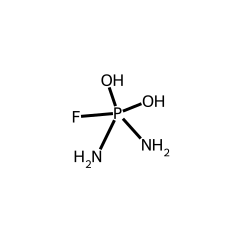 NP(N)(O)(O)F